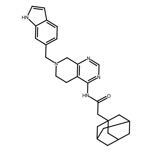 O=C(CC12CC3CC(CC(C3)C1)C2)Nc1ncnc2c1CCN(Cc1ccc3cc[nH]c3c1)C2